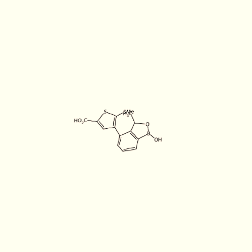 CSc1sc(C(=O)O)cc1-c1cccc2c1C(C)OB2O